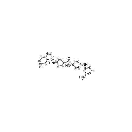 Nc1cc(Nc2ccc(NC(=O)c3ccc(Nc4ccnc5ccc(F)cc45)cc3)cc2)ccn1